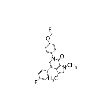 Cc1cn(C)c2c(=O)n(-c3ccc(OCF)cc3)cc(-c3ccc(F)cc3)c12